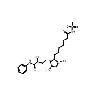 CS(=O)(=O)NC(=O)CCCCCCC1[C@@H](CCC(O)C(=O)Nc2ccccc2)[C@H](O)C[C@@H]1O